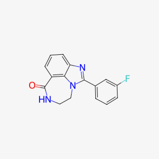 O=C1NCCn2c(-c3cccc(F)c3)nc3cccc1c32